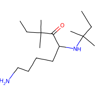 CCC(C)(C)NC(CCCCN)C(=O)C(C)(C)CC